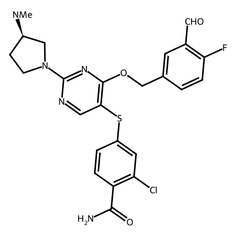 CN[C@@H]1CCN(c2ncc(Sc3ccc(C(N)=O)c(Cl)c3)c(OCc3ccc(F)c(C=O)c3)n2)C1